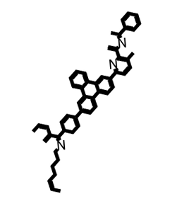 C=C(/C=C\C)/C(=N\CCCC/C=C\C)C1C=CC(c2ccc3c4ccc(-c5ccc(C)c(C(=C)/N=C(\C)c6ccccc6)n5)cc4c4ccccc4c3c2)=CC1